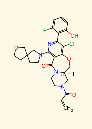 C=CC(=O)N1CCN2C(=O)c3c(N4CCC5(CCOC5)C4)nc(-c4c(O)cccc4F)c(Cl)c3OC[C@H]2C1